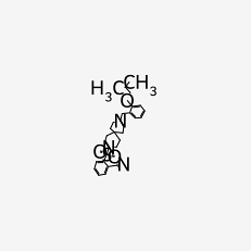 CC(C)COc1ccccc1CN1CCC2(CC1)CCN(S(=O)(=O)c1ccccc1C#N)CC2